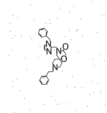 O=C1COC2(CCN(CCc3ccccc3)CC2)CN1Cc1nccn1Cc1ccccc1